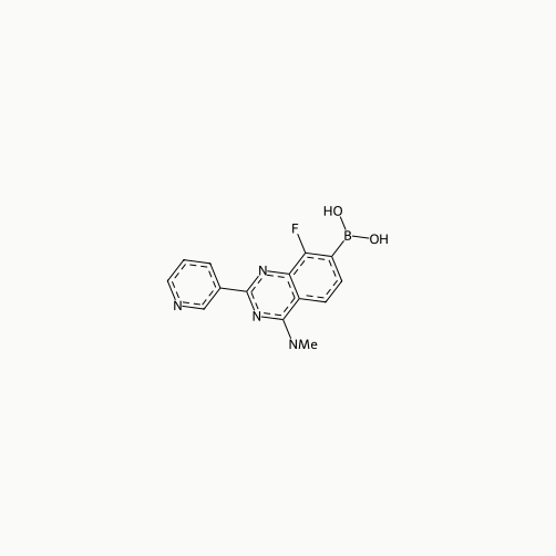 CNc1nc(-c2cccnc2)nc2c(F)c(B(O)O)ccc12